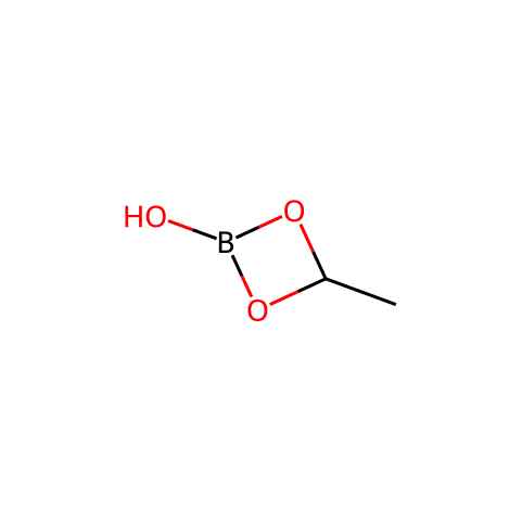 CC1OB(O)O1